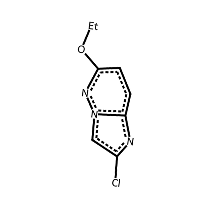 CCOc1ccc2nc(Cl)cn2n1